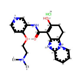 CCN(CC)CCOc1ccncc1NC(=O)C1=C(O)CCc2c1nc1ccccn21.Cl